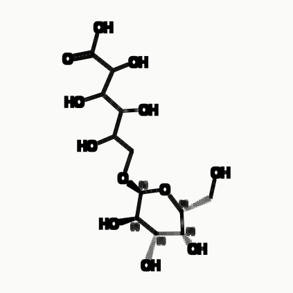 O=C(O)C(O)C(O)C(O)C(O)CO[C@H]1O[C@H](CO)[C@H](O)[C@H](O)[C@H]1O